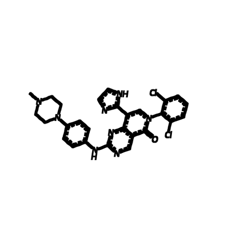 CN1CCN(c2ccc(Nc3ncc4c(=O)n(-c5c(Cl)cccc5Cl)cc(-c5ncc[nH]5)c4n3)cc2)CC1